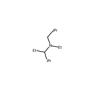 CCC(C(C)C)N(CC)CC(C)C